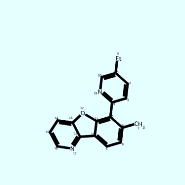 CCc1ccc(-c2c(C)ccc3c2oc2cccnc23)nc1